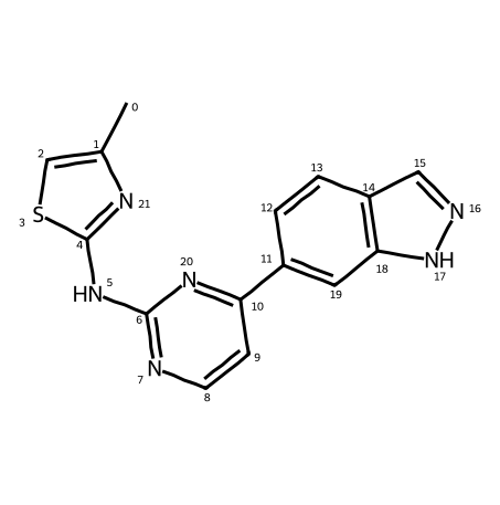 Cc1csc(Nc2nccc(-c3ccc4cn[nH]c4c3)n2)n1